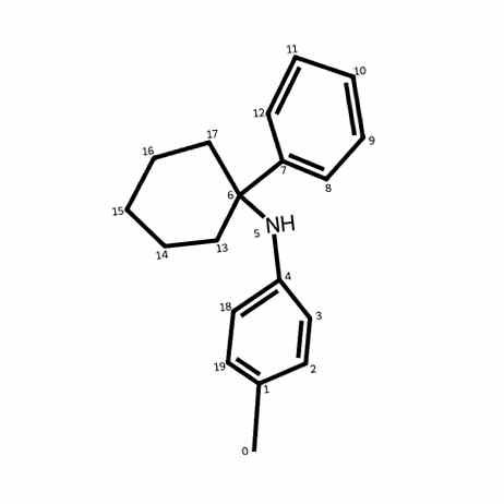 Cc1ccc(NC2(c3ccccc3)CCCCC2)cc1